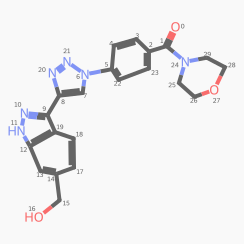 O=C(c1ccc(-n2cc(-c3n[nH]c4cc(CO)ccc34)nn2)cc1)N1CCOCC1